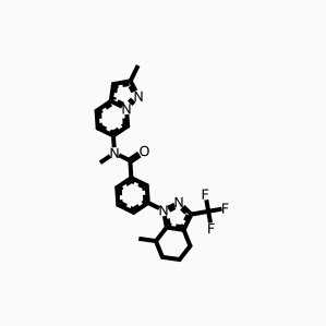 Cc1cc2ccc(N(C)C(=O)c3cccc(-n4nc(C(F)(F)F)c5c4C(C)CCC5)c3)cn2n1